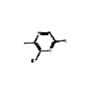 Cc1ncc(S)nc1C(C)C